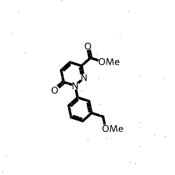 COCc1cccc(-n2nc(C(=O)OC)ccc2=O)c1